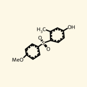 COc1ccc(S(=O)(=O)c2ccc(O)cc2C)cc1